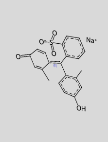 CC1=CC(=O)C=C/C1=C(/c1ccc(O)cc1C)c1ccccc1S(=O)(=O)[O-].[Na+]